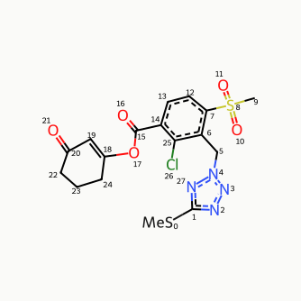 CSc1nnn(Cc2c(S(C)(=O)=O)ccc(C(=O)OC3=CC(=O)CCC3)c2Cl)n1